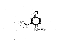 C=Cc1cc(Cl)ccc1NC(C)=O